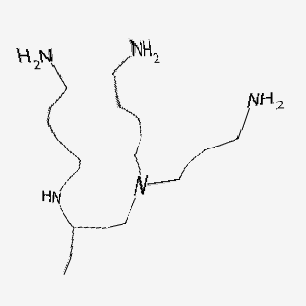 CC(CN(CCCN)CCCN)NCCCN